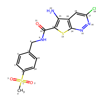 CS(=O)(=O)c1ccc(CNC(=O)c2sc3nnc(Cl)cc3c2N)cc1